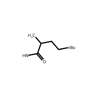 CCCCCCC(C)C([NH])=O